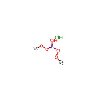 CCOOP(O)OOCC.Cl